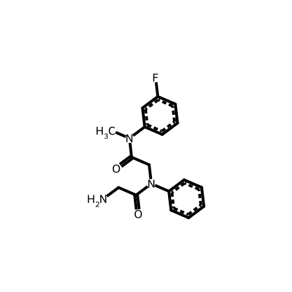 CN(C(=O)CN(C(=O)CN)c1ccccc1)c1cccc(F)c1